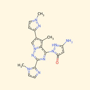 Cc1c(-c2ccn(C)n2)cn2nc(-c3nccn3C)nc(-n3[nH]c(N)cc3=O)c12